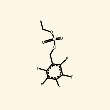 CCOS(=O)(=O)OCc1c(F)c(F)c(F)c(F)c1F